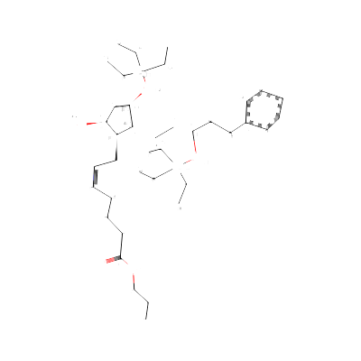 CCCOC(=O)CCC/C=C\C[C@@H]1[C@@H](CC[C@H](CCc2ccccc2)O[Si](CC)(CC)CC)[C@H](O[Si](CC)(CC)CC)C[C@@H]1O